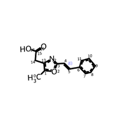 Cc1oc(/C=C/c2ccccc2)nc1CC(=O)O